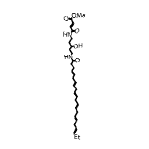 CCC=CCC=CCC=CCC=CCC=CCC=CCCC(=O)NCCC(O)CCNC(=O)C=CC(=O)OC